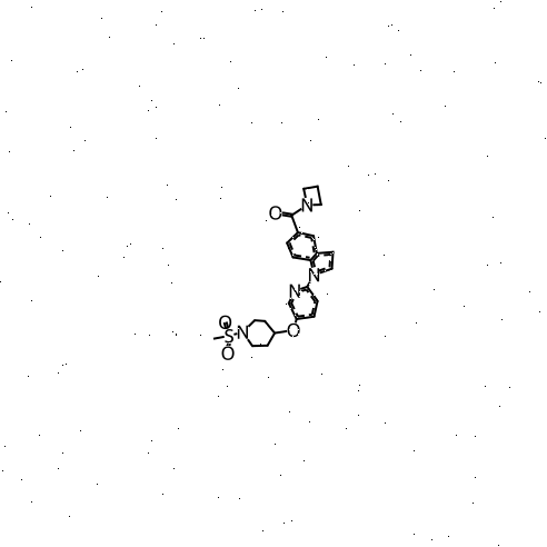 CS(=O)(=O)N1CCC(Oc2ccc(-n3ccc4cc(C(=O)N5CCC5)ccc43)nc2)CC1